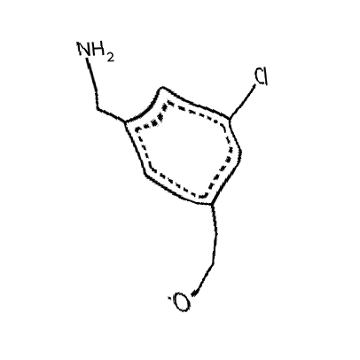 NCc1cc(Cl)cc(C[O])c1